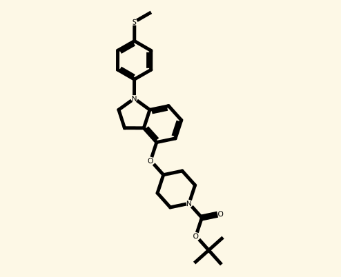 CSc1ccc(N2CCc3c(OC4CCN(C(=O)OC(C)(C)C)CC4)cccc32)cc1